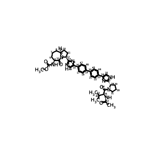 COC(=O)N[C@H]1CCC[C@H]2CC[C@@H](c3nc(-c4ccc(-c5ccc(-c6c[nH]c([C@@H]7CCCN7C(=O)[C@@H](NC(C)=O)C(C)C)n6)cc5)cc4)c[nH]3)N2C1=O